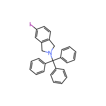 Ic1ccc2c(c1)CN(C(c1ccccc1)(c1ccccc1)c1ccccc1)C2